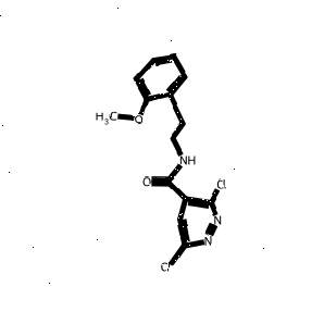 COc1ccccc1CCNC(=O)c1cc(Cl)nnc1Cl